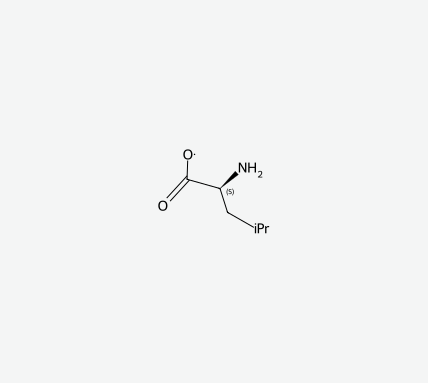 CC(C)C[C@H](N)C([O])=O